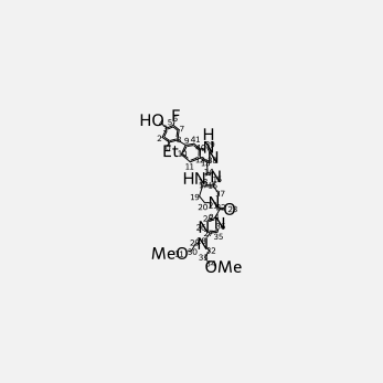 CCc1cc(O)c(F)cc1-c1ccc2c(-c3nc4c([nH]3)CCN(C(=O)c3cnc(N(CCOC)CCOC)cn3)C4)n[nH]c2c1